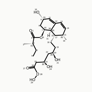 CC[C@H](C)C(=O)O[C@H]1C[C@H](O)C=C2C=C[C@H](C)[C@H](CC[C@@H](O)C[C@@H](O)CC(=O)OO)[C@H]21